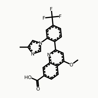 COc1cc(-c2ccc(C(F)(F)F)cc2-n2cnc(C)c2)nc2cc(C(=O)O)ccc12